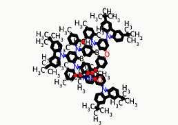 Cc1cc(C)c(N2c3cc4c(cc3B3c5cc(C(C)(C)C)ccc5Oc5cc(-n6c7ccc(C(C)(C)C)cc7c7cc(C(C)(C)C)ccc76)cc2c53)B2c3cc5c(cc3N(c3c(C)cc(C)cc3C)c3cc(-n6c7ccc(C(C)(C)C)cc7c7cc(C(C)(C)C)ccc76)cc(c32)N4c2c(C)cc(C)cc2C)Nc2cc(-n3c4ccc(C(C)(C)C)cc4c4cc(C(C)(C)C)ccc43)cc3c2B5c2cc(C(C)(C)C)ccc2O3)c(C)c1